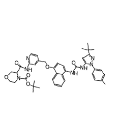 Cc1ccc(-n2nc(C(C)(C)C)cc2NC(=O)Nc2ccc(OCc3ccnc(NC(=O)C4COCCN4C(=O)OC(C)(C)C)c3)c3ccccc23)cc1